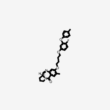 Cc1ccc(Oc2cc(OCCCCOc3cc4c(cc3C)C(=O)N3CCC[C@H]3C=N4)ccc2F)cc1